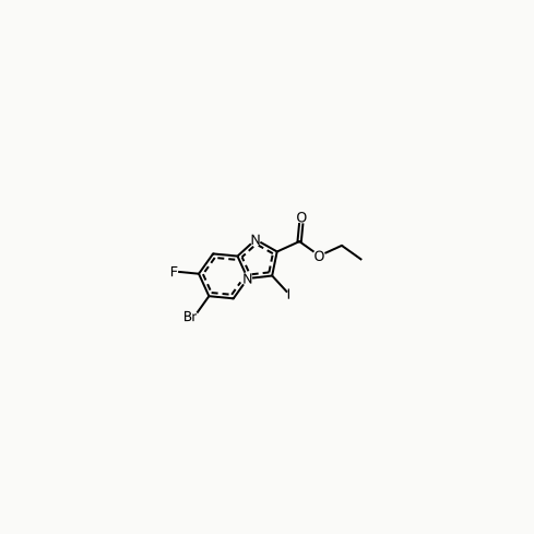 CCOC(=O)c1nc2cc(F)c(Br)cn2c1I